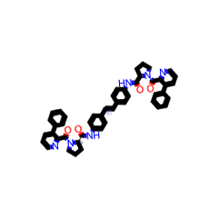 O=C(Nc1ccc(/C=C/c2ccc(NC(=O)[C@@H]3CCCN3C(=O)c3ncccc3-c3ccccc3)cc2)cc1)C1CCCN1C(=O)c1ncccc1-c1ccccc1